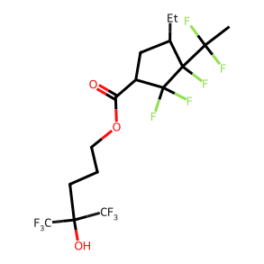 CCC1CC(C(=O)OCCCC(O)(C(F)(F)F)C(F)(F)F)C(F)(F)C1(F)C(C)(F)F